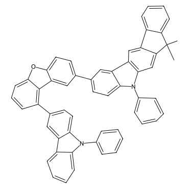 CC1(C)c2ccccc2-c2cc3c4cc(-c5ccc6oc7cccc(-c8ccc9c(c8)c8ccccc8n9-c8ccccc8)c7c6c5)ccc4n(-c4ccccc4)c3cc21